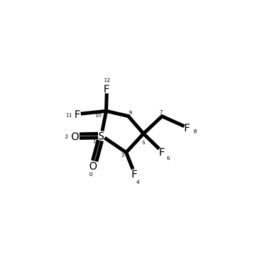 O=S1(=O)C(F)C(F)(CF)CC1(F)F